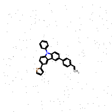 C=Cc1ccc(-c2ccc3c(c2)c2cc(-c4cccs4)ccc2n3-c2ccccc2)cc1